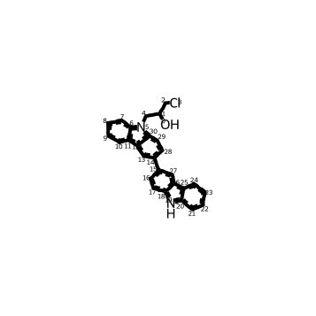 OC(CCl)Cn1c2ccccc2c2cc(-c3ccc4[nH]c5ccccc5c4c3)ccc21